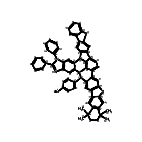 CC(C)(C)c1ccc(N2B3c4cc5nc(-c6ccccc6)n(-c6ccccc6)c5cc4-n4c5cc6c(cc5c5ccc(c3c54)-c3cc4oc5cc7c(cc5c4cc32)C(C)(C)CCC7(C)C)sc2ccccc26)cc1